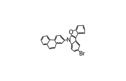 Brc1ccc2c(c1)c1c3ccccc3oc1n2-c1ccc2c(ccc3ccccc32)c1